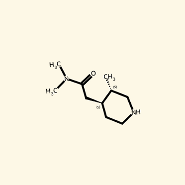 C[C@@H]1CNCC[C@H]1CC(=O)N(C)C